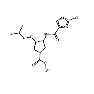 CC(C)(C)OC(=O)N1CC(NC(=O)c2ccc(Cl)s2)C(OCC(F)F)C1